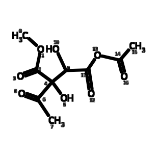 COC(=O)C(O)(C(C)=O)C(O)C(=O)OC(C)=O